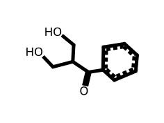 O=C(c1ccccc1)C(CO)CO